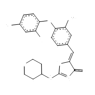 COc1cc(/C=C2\SC(NC3CCOCC3)=NC2=O)ccc1Oc1ccc(C#N)cc1C(F)(F)F